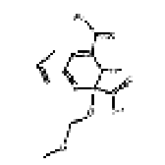 C=CC.COCOC1(C(=O)O)C=CC=C(C(=O)O)C1C